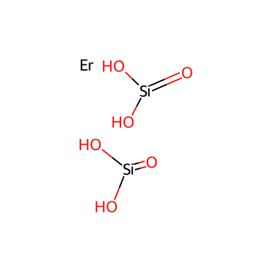 O=[Si](O)O.O=[Si](O)O.[Er]